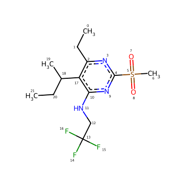 CCc1nc(S(C)(=O)=O)nc(NCC(F)(F)F)c1C(C)CC